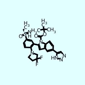 CC[S@@](=N)(=O)c1ccc(N2CCC(F)(F)C2)c(-c2cc3cc(-c4cnn[nH]4)ccc3n2C(=O)OC(C)(C)C)c1